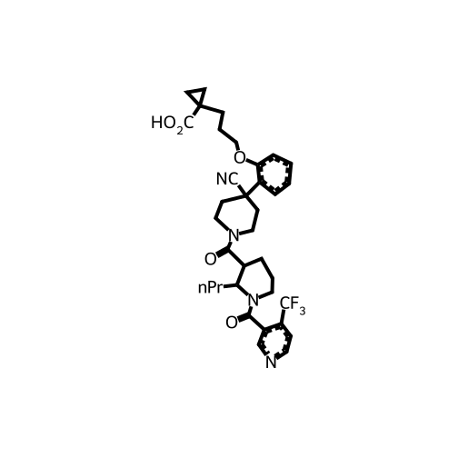 CCCC1C(C(=O)N2CCC(C#N)(c3ccccc3OCCCC3(C(=O)O)CC3)CC2)CCCN1C(=O)c1cnccc1C(F)(F)F